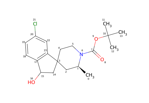 C[C@H]1CC2(CCN1C(=O)OC(C)(C)C)CC(O)c1ccc(Cl)cc12